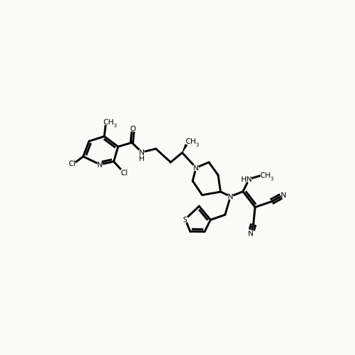 CNC(=C(C#N)C#N)N(Cc1ccsc1)C1CCN([C@H](C)CCNC(=O)c2c(C)cc(Cl)nc2Cl)CC1